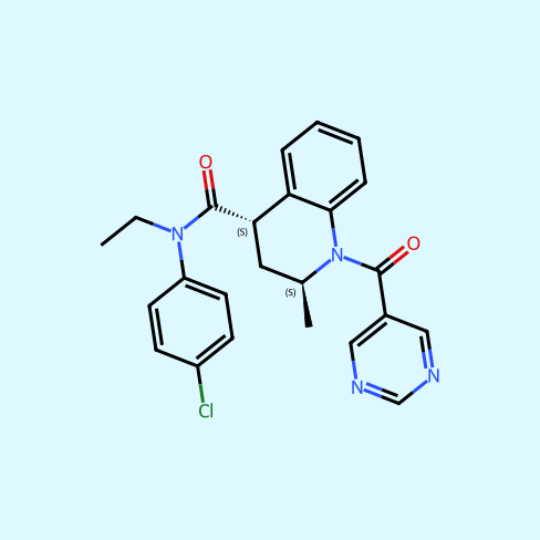 CCN(C(=O)[C@H]1C[C@H](C)N(C(=O)c2cncnc2)c2ccccc21)c1ccc(Cl)cc1